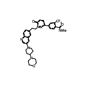 CNC(=O)c1ccc(-c2ccc(=O)n(CCc3ccc4ncc(N5CCC(N6CCOCC6)CC5)cc4c3)n2)cc1C(F)(F)F